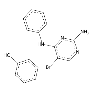 Nc1ncc(Br)c(Nc2ccccc2)n1.Oc1ccccc1